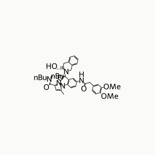 CCCCN(CCCC)C(=O)c1cc(C)n(-c2ccc(NC(=O)Cc3ccc(OC)c(OC)c3)cc2C(=O)N2Cc3ccccc3C[C@H]2CO)n1